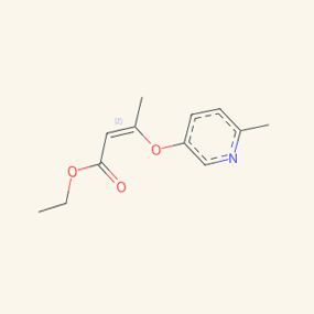 CCOC(=O)/C=C(/C)Oc1ccc(C)nc1